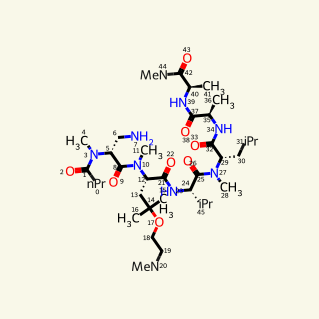 CCCC(=O)N(C)[C@H](CN)C(=O)N(C)[C@@H](CC(C)(C)OCCNC)C(=O)N[C@H](C(=O)N(C)[C@@H](CC(C)C)C(=O)N[C@H](C)C(=O)N[C@H](C)C(=O)NC)C(C)C